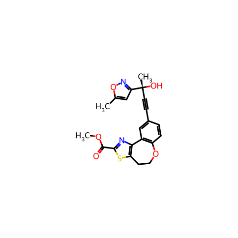 COC(=O)c1nc2c(s1)CCOc1ccc(C#C[C@@](C)(O)c3cc(C)on3)cc1-2